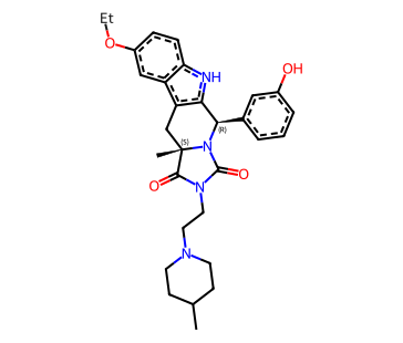 CCOc1ccc2[nH]c3c(c2c1)C[C@@]1(C)C(=O)N(CCN2CCC(C)CC2)C(=O)N1[C@@H]3c1cccc(O)c1